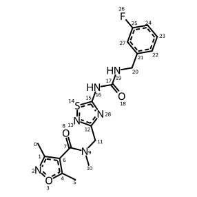 Cc1noc(C)c1C(=O)N(C)Cc1nsc(NC(=O)NCc2cccc(F)c2)n1